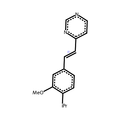 COc1cc(/C=C/c2ccncn2)ccc1C(C)C